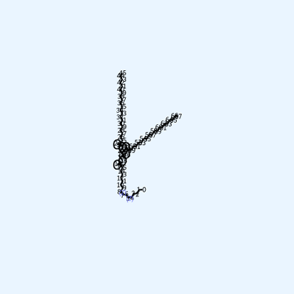 CCCC/C=C\C/C=C\CCCCCCCC(=O)OC[C@H](COC(=O)CCCCCCCCCCCCCCCCCCCCC)OC(=O)CCCCCCCCCCCCCCCCCCC